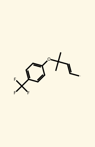 [CH2]C=CC(C)(C)Oc1ccc(C(F)(F)F)cc1